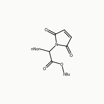 CCCCCCCCCC(C(=O)OCCCC)N1C(=O)C=CC1=O